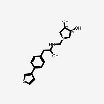 OC(Cc1ccc(-c2ccsc2)cc1)NCN1C[C@@H](O)[C@@H](O)C1